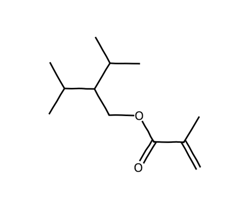 C=C(C)C(=O)OCC(C(C)C)C(C)C